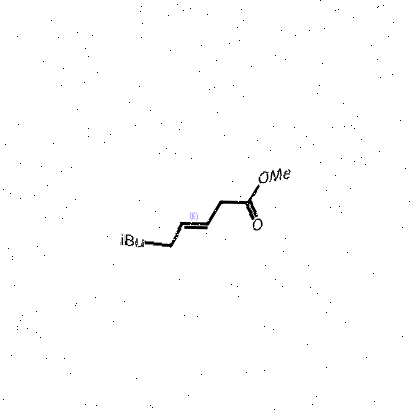 CCC(C)C/C=C/CC(=O)OC